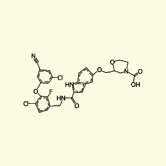 N#Cc1cc(Cl)cc(Oc2c(Cl)ccc(CNC(=O)c3cc4cc(OCC5CN(C(=O)O)CCO5)ccc4[nH]3)c2F)c1